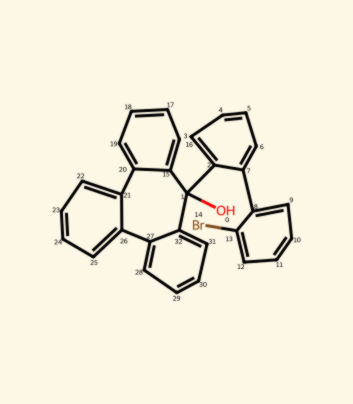 OC1(c2ccccc2-c2ccccc2Br)c2ccccc2-c2ccccc2-c2ccccc21